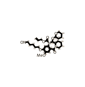 C=CCOC(=O)N1c2cc(OCCCCCN=O)c(OC)cc2C(=O)N2CCCCC2C1OC1CCCCO1